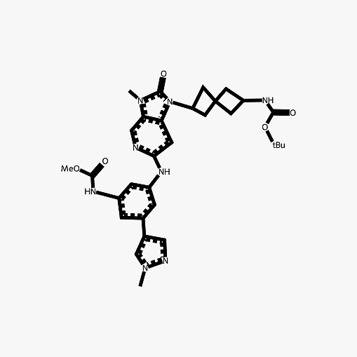 COC(=O)Nc1cc(Nc2cc3c(cn2)n(C)c(=O)n3C2CC3(CC(NC(=O)OC(C)(C)C)C3)C2)cc(-c2cnn(C)c2)c1